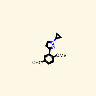 COc1ccc(C=O)cc1-c1ccn(C2CC2)n1